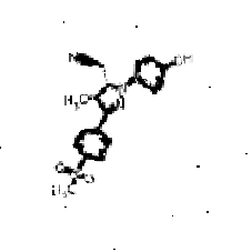 C[C@@H]1C(c2ccc(S(C)(=O)=O)cc2)=NN(c2ccc(O)cc2)[C@H]1CC#N